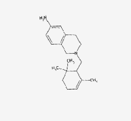 CC1=CCCC(C)(C)C1CN1CCc2cc(N)ccc2C1